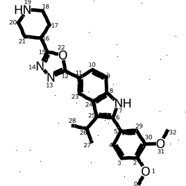 COc1ccc(-c2[nH]c3ccc(-c4nnc(C5CCNCC5)o4)cc3c2C(C)C)cc1OC